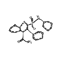 NC(=O)c1c(-c2ccccc2)c(S(=O)(=O)Nc2ccccc2)nc2ccccc12